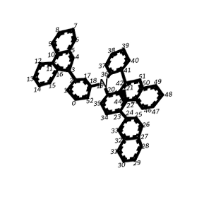 c1cc(-c2cc3ccccc3c3ccccc23)cc(N(c2ccc(-c3ccc4ccccc4c3)cc2)c2ccccc2-c2ccc3ccccc3c2)c1